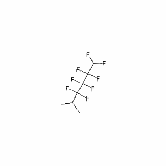 C[C](C)C(F)(F)C(F)(F)C(F)(F)C(F)F